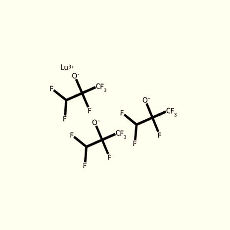 [Lu+3].[O-]C(F)(C(F)F)C(F)(F)F.[O-]C(F)(C(F)F)C(F)(F)F.[O-]C(F)(C(F)F)C(F)(F)F